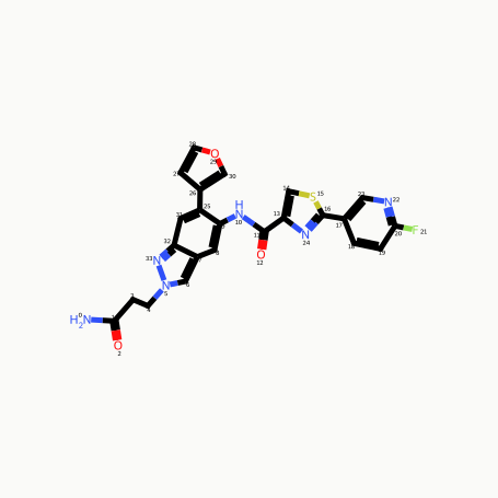 NC(=O)CCn1cc2cc(NC(=O)c3csc(-c4ccc(F)nc4)n3)c(-c3ccoc3)cc2n1